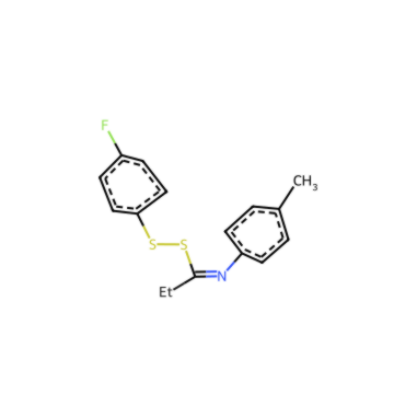 CCC(=Nc1ccc(C)cc1)SSc1ccc(F)cc1